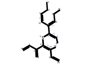 C=CC(=C)/C(SC(=C\C)/C(/C=C\CC)=C/CC)=C(/C)C=C